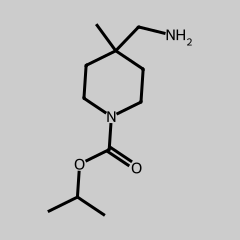 CC(C)OC(=O)N1CCC(C)(CN)CC1